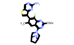 COc1nc(N2CC3CCC(C2)N3)c2cc(C(F)(F)F)c(-c3csc4cnc(N)nc34)c(F)c2n1